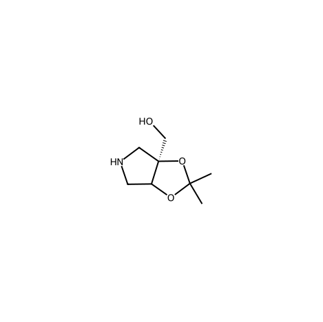 CC1(C)OC2CNC[C@@]2(CO)O1